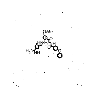 COC[C@H]1C[C@@H](C(=O)NCc2cc(C(=N)N)cs2)N(C(=O)CNC(=O)c2ccc(Oc3ccccc3)cc2)C1